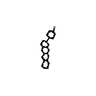 Brc1ccc(-c2ccc3cc4cc5ccccc5cc4cc3c2)cc1